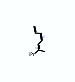 C=C/C=C\C=C(/C)C(C)C